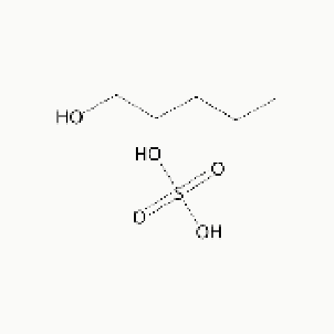 CCCCCO.O=S(=O)(O)O